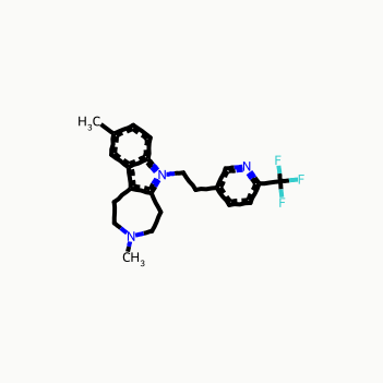 Cc1ccc2c(c1)c1c(n2CCc2ccc(C(F)(F)F)nc2)CCN(C)CC1